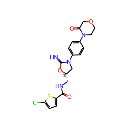 N=C1O[C@@H](CNC(=O)c2ccc(Cl)s2)CN1c1ccc(N2CCOCC2=O)cc1